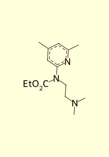 CCOC(=O)N(CCN(C)C)c1cc(C)cc(C)n1